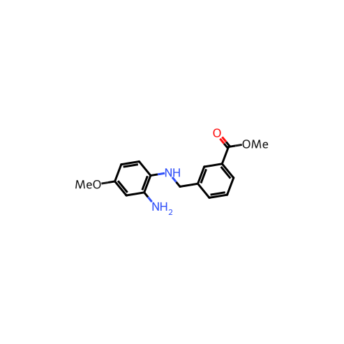 COC(=O)c1cccc(CNc2ccc(OC)cc2N)c1